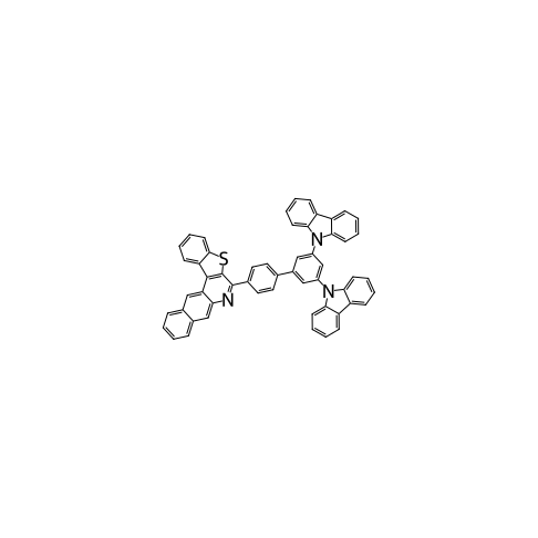 c1ccc2cc3c(cc2c1)nc(-c1ccc(-c2cc(-n4c5ccccc5c5ccccc54)cc(-n4c5ccccc5c5ccccc54)c2)cc1)c1sc2ccccc2c13